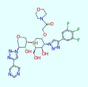 O=C(CO[C@H]1C[SH]([C@@H]2COC[C@H](n3cc(-c4cncnc4)nn3)[C@H]2O)[C@H](CO)[C@H](O)[C@@H]1n1cc(-c2cc(F)c(F)c(F)c2)nn1)N1CCOCC1